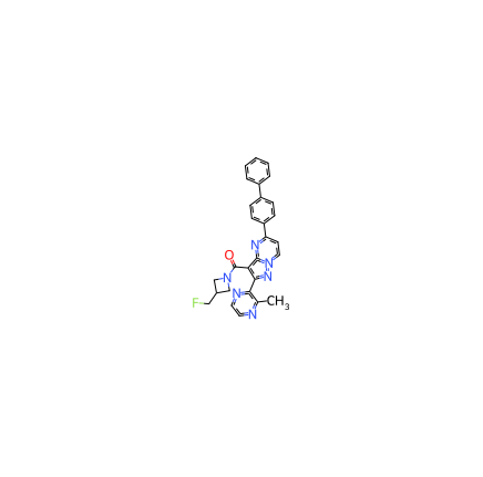 Cc1nccnc1-c1nn2ccc(-c3ccc(-c4ccccc4)cc3)nc2c1C(=O)N1CC(CF)C1